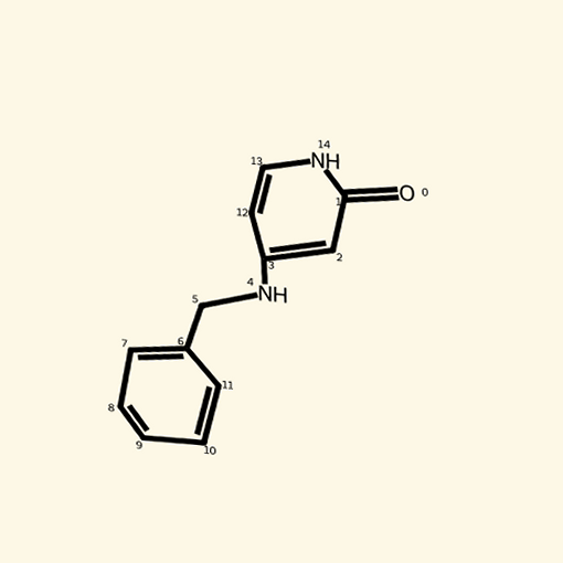 O=c1cc(NCc2ccccc2)cc[nH]1